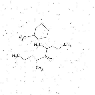 CC1CCCCC1.CCCC(C)C(=O)C(C)CCC